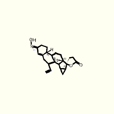 C=CC1CC2=C/C(=N/O)CC[C@@H]2C2CC[C@@]3(CC)C(C4CC4[C@@]34CCC(=O)O4)C12